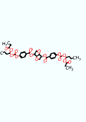 C=CC(=O)OC(CCC)OC(=O)Oc1ccc(C(=O)O[C@H]2COC3C2OC[C@H]3OC(=O)c2ccc(OC(=O)OC(CCC)OC(=O)C=C)cc2)cc1